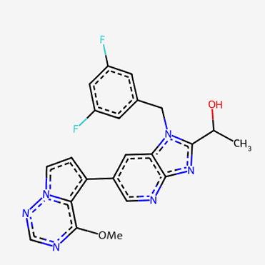 COc1ncnn2ccc(-c3cnc4nc(C(C)O)n(Cc5cc(F)cc(F)c5)c4c3)c12